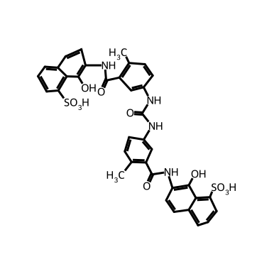 Cc1ccc(NC(=O)Nc2ccc(C)c(C(=O)Nc3ccc4cccc(S(=O)(=O)O)c4c3O)c2)cc1C(=O)Nc1ccc2cccc(S(=O)(=O)O)c2c1O